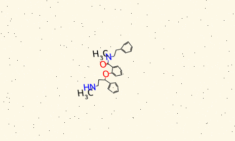 CNCCC(Oc1ccccc1C(=O)N(C)CCc1ccccc1)c1ccccc1